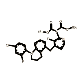 CC(C)(C)OC(=O)N(C(=O)OC(C)(C)C)c1nccc(Cc2cccc3c2CCCN3c2ccc(Cl)cc2F)c1F